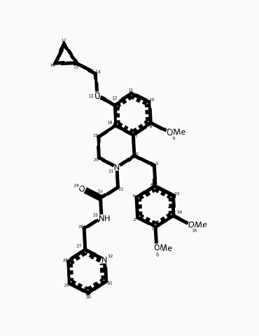 COc1ccc(CC2c3c(OC)ccc(OCC4CC4)c3CCN2CC(=O)NCc2ccccn2)cc1OC